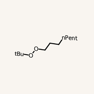 CCCCCCCCOOC(C)(C)C